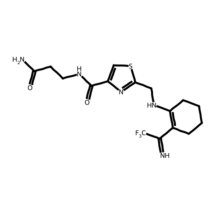 N=C(C1=C(NCc2nc(C(=O)NCCC(N)=O)cs2)CCCC1)C(F)(F)F